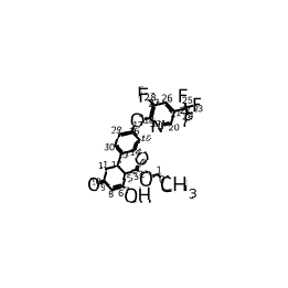 CCOC(=O)C1C(O)=CC(=O)CC1c1ccc(Oc2ncc(C(F)(F)F)cc2F)cc1